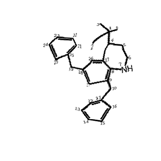 CC(C)(C)C1CCNc2c(Cc3ccccc3)cc(Cc3ccccc3)cc21